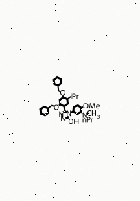 CCCN(C)c1cc(-n2c(O)nnc2-c2cc(C(C)C)c(OCc3ccccc3)cc2OCc2ccccc2)ccc1OC